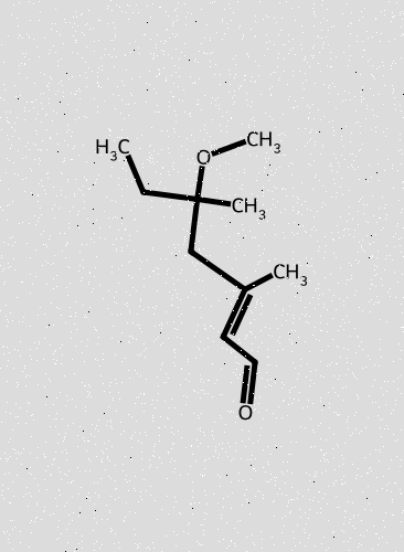 CCC(C)(C/C(C)=C/C=O)OC